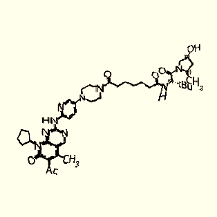 CC(=O)c1c(C)c2cnc(Nc3ccc(N4CCN(C(=O)CCCCCC(=O)N[C@H](C(=O)N5C[C@H](O)C[C@H]5C)C(C)(C)C)CC4)cn3)nc2n(C2CCCC2)c1=O